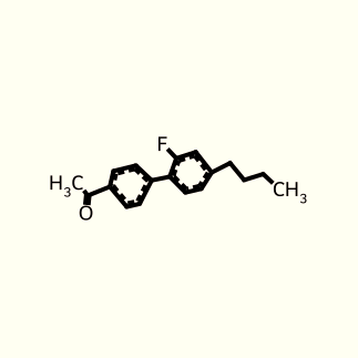 CCCCc1ccc(-c2ccc(C(C)=O)cc2)c(F)c1